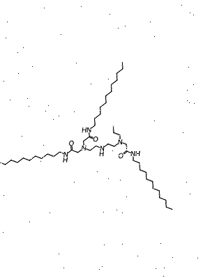 CCCCCCCCCCCCNC(=O)CN(CCC)CCNCCN(CC(=O)NCCCCCCCCCCCC)CC(=O)NCCCCCCCCCCCC